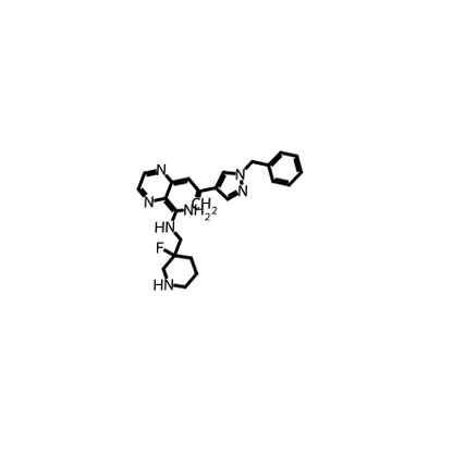 C=C(/C=c1/nccn/c1=C(/N)NCC1(F)CCCNC1)c1cnn(Cc2ccccc2)c1